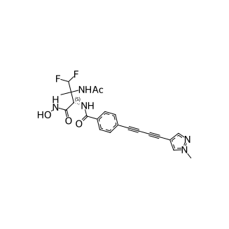 CC(=O)NC(C)(C(F)F)[C@H](NC(=O)c1ccc(C#CC#Cc2cnn(C)c2)cc1)C(=O)NO